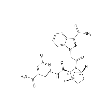 NC(=O)c1cc(Cl)nc(NC(=O)[C@@H]2[C@H]3CC[C@H](C3)N2C(=O)Cn2nc(C(N)=O)c3ccccc32)c1